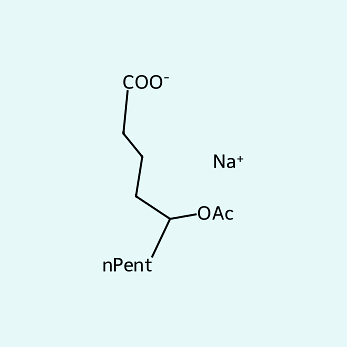 CCCCCC(CCCC(=O)[O-])OC(C)=O.[Na+]